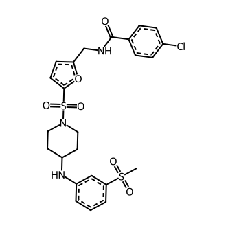 CS(=O)(=O)c1cccc(NC2CCN(S(=O)(=O)c3ccc(CNC(=O)c4ccc(Cl)cc4)o3)CC2)c1